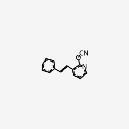 N#COc1ncccc1C=Cc1ccccc1